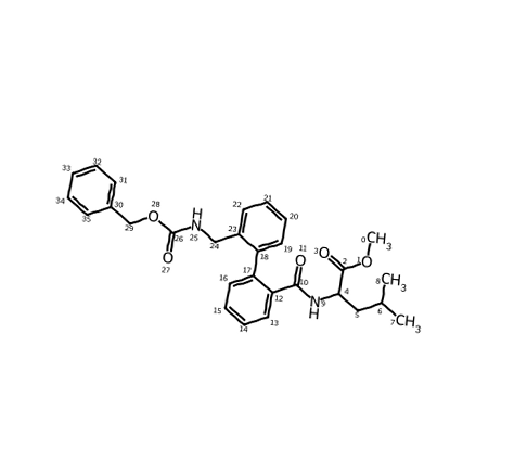 COC(=O)C(CC(C)C)NC(=O)c1ccccc1-c1ccccc1CNC(=O)OCc1ccccc1